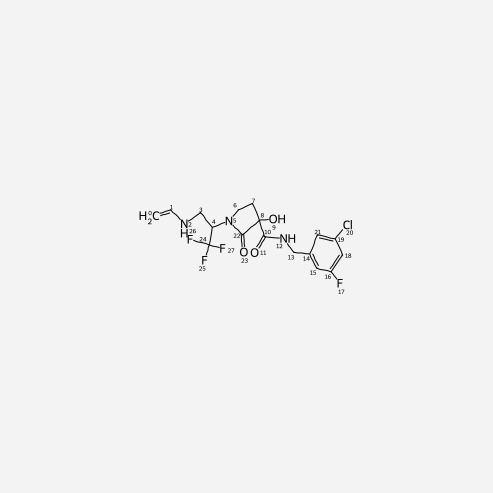 C=CNCC(N1CCC(O)(C(=O)NCc2cc(F)cc(Cl)c2)C1=O)C(F)(F)F